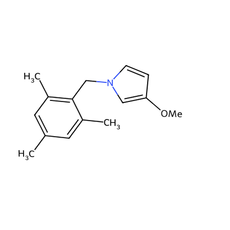 COc1ccn(Cc2c(C)cc(C)cc2C)c1